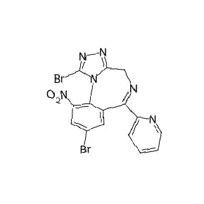 O=[N+]([O-])c1cc(Br)cc2c1-n1c(Br)nnc1CN=C2c1ccccn1